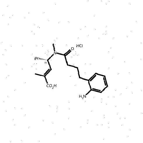 CC(=C[C@H](C(C)C)N(C)C(=O)CCCc1ccccc1N)C(=O)O.Cl